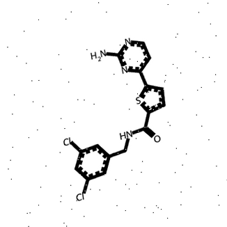 Nc1nccc(-c2ccc(C(=O)NCc3cc(Cl)cc(Cl)c3)s2)n1